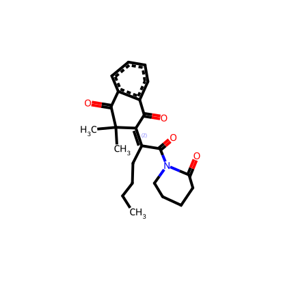 CCCC/C(C(=O)N1CCCCC1=O)=C1/C(=O)c2ccccc2C(=O)C1(C)C